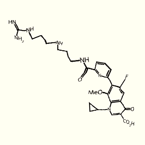 COc1c(-c2cccc(C(=O)NCCCNCCCNC(=N)N)n2)c(F)cc2c(=O)c(C(=O)O)cn(C3CC3)c12